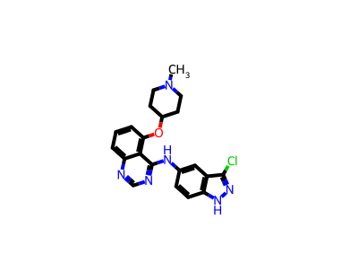 CN1CCC(Oc2cccc3ncnc(Nc4ccc5[nH]nc(Cl)c5c4)c23)CC1